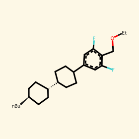 CCCC[C@H]1CC[C@H](C2CCC(c3cc(F)c(COCC)c(F)c3)CC2)CC1